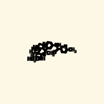 Cc1ccc(C(=O)Nc2ccc(F)c([C@@]3(C)N=C(NC(=O)O)C(C)(C)S4(O)NCC[C@@H]34)c2)cn1